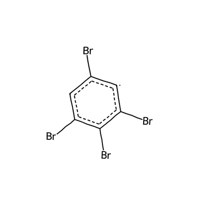 Brc1[c]c(Br)c(Br)c(Br)c1